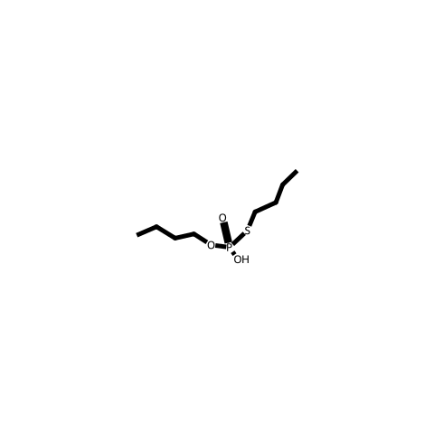 CCCCOP(=O)(O)SCCCC